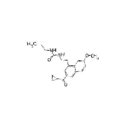 CCCNC(=O)NCCc1cc(C(=O)C2CC2)cc2ccc(OC)cc12